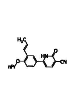 CC=Cc1cc(-c2ccc(C#N)c(=O)[nH]2)ccc1OCCC